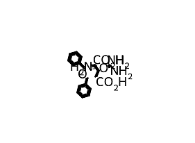 NC(N)=O.N[C@@H](CCC(=O)O)C(=O)O.c1ccc(COCc2ccccc2)cc1